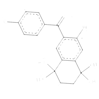 C=C(c1ccc(C)cc1)c1cc2c(cc1Br)C(C)(C)CCC2(C)C